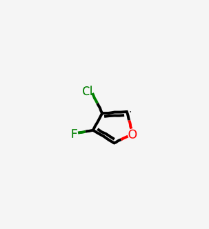 Fc1co[c]c1Cl